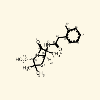 CC1(C)S[C@H]2N(C(=O)[C@]2(C)NC(=O)Cc2ccccc2I)[C@H]1C(=O)O